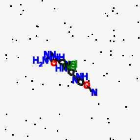 CC(N=C(N)N)NC(=O)c1ccc2nc(-c3ccc(-c4nc5ccc(OCCCN(C)C)cc5[nH]4)cc3)[nH]c2c1.Cl.Cl